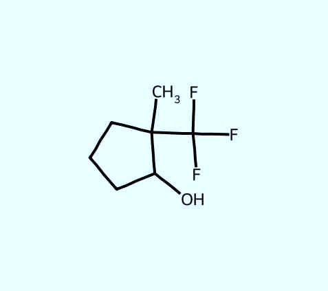 CC1(C(F)(F)F)CCCC1O